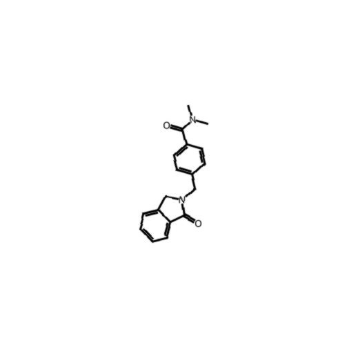 CN(C)C(=O)c1ccc(CN2Cc3ccccc3C2=O)cc1